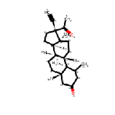 C#C[C@]1(C(C)=O)CC[C@@H]2[C@@H]3CC[C@H]4CC(=O)CC(C)[C@]4(C)[C@H]3CC[C@@]21C